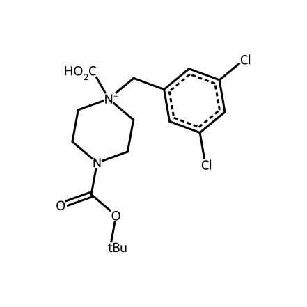 CC(C)(C)OC(=O)N1CC[N+](Cc2cc(Cl)cc(Cl)c2)(C(=O)O)CC1